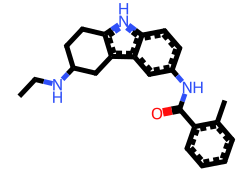 CCNC1CCc2[nH]c3ccc(NC(=O)c4ccccc4C)cc3c2C1